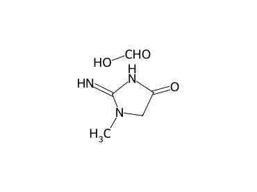 CN1CC(=O)NC1=N.O=CO